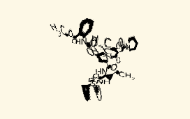 C=C[C@@H]1C[C@]1(NC(=O)[C@@H]1C[C@@H](OC(=O)Nc2ccccc2C(=O)OCC)CN1C(=O)[C@@H](CC(=O)N1CCCCC1)C(C)(C)C)C(=O)NS(=O)(=O)C1CC1